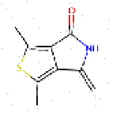 C=C1NC(=O)c2c(C)sc(C)c21